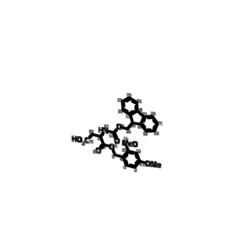 COc1ccc(COC(=O)C(CC(=O)O)NC(=O)OCC2c3ccccc3-c3ccccc32)c(OC)c1